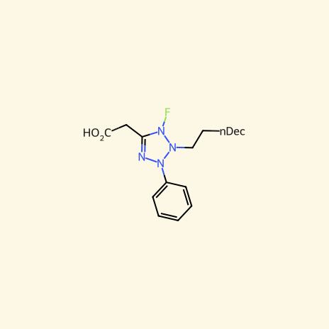 CCCCCCCCCCCCN1N(F)C(CC(=O)O)=NN1c1ccccc1